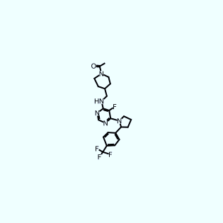 CC(=O)N1CCC(CNc2ncnc(N3CCCC3c3ccc(C(F)(F)F)cc3)c2F)CC1